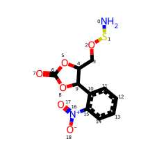 NSOCC1OC(=O)OC1c1ccccc1[N+](=O)[O-]